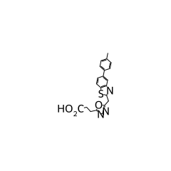 Cc1ccc(-c2ccc3sc(Cc4nnc(CCC(=O)O)o4)nc3c2)cc1